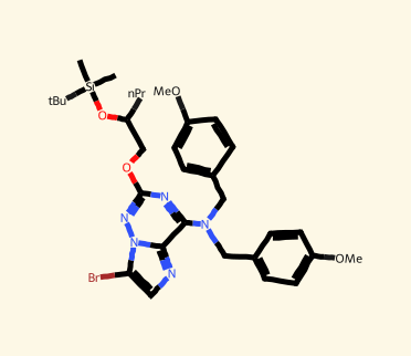 CCCC(COc1nc(N(Cc2ccc(OC)cc2)Cc2ccc(OC)cc2)c2ncc(Br)n2n1)O[Si](C)(C)C(C)(C)C